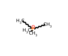 CCCCCCCCP(=O)(CCCCCCCC)CC(C)C